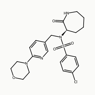 O=C1NCCCC[C@H]1N(Cc1ccc(N2CCOCC2)nc1)S(=O)(=O)c1ccc(Cl)cc1